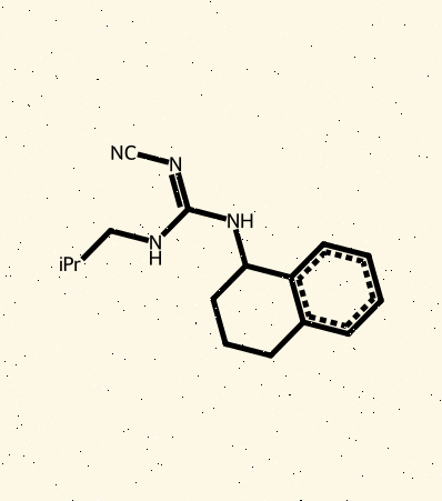 CC(C)CN/C(=N\C#N)NC1CCCc2ccccc21